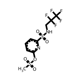 CS(=O)(=O)Oc1cccc(S(=O)(=O)NCC(F)(F)C(F)(F)F)n1